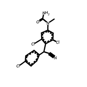 CN(C(N)=O)c1cc(Cl)c(C(C#N)c2ccc(Cl)cc2)c(Cl)c1